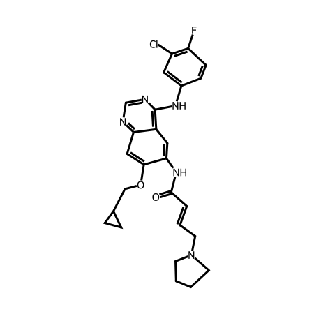 O=C(C=CCN1CCCC1)Nc1cc2c(Nc3ccc(F)c(Cl)c3)ncnc2cc1OCC1CC1